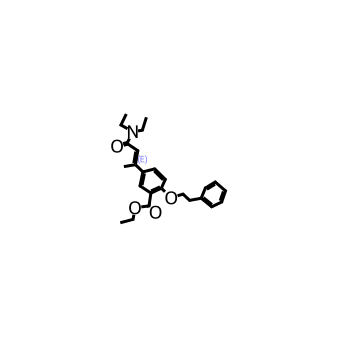 CCOC(=O)c1cc(/C(C)=C/C(=O)N(CC)CC)ccc1OCCc1ccccc1